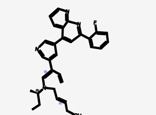 C=C/C(=C\N(C/C=C/CO)[C@H](C)CC)c1cncc(-c2cc(-c3ccccc3F)nc3ncccc23)c1